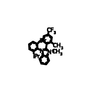 Cc1cc(C(F)(F)F)ccc1-c1n(-c2c(C(C)C)cccc2C(C)C)c2ccccc2[n+]1C